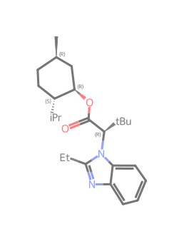 CCc1nc2ccccc2n1[C@@H](C(=O)O[C@@H]1C[C@H](C)CC[C@H]1C(C)C)C(C)(C)C